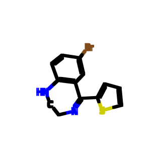 Brc1ccc2c(c1)C(c1cccs1)=NCCN2